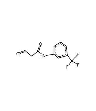 O=CCC(=O)Nc1cccc(C(F)(F)F)c1